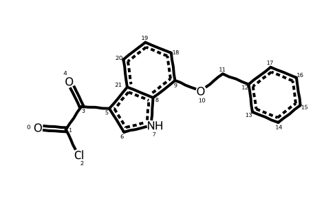 O=C(Cl)C(=O)c1c[nH]c2c(OCc3ccccc3)cccc12